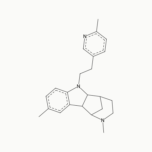 Cc1ccc2c(c1)C1C3CC(CCN3C)C1N2CCc1ccc(C)nc1